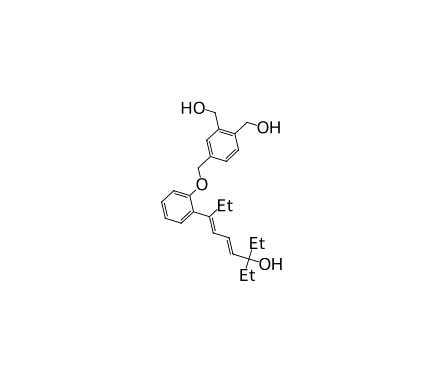 CC/C(=C\C=C\C(O)(CC)CC)c1ccccc1OCc1ccc(CO)c(CO)c1